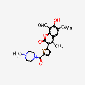 COc1cc2c(C)c(-c3ccc(C(=O)N4CCN(C)CC4)s3)c(=O)oc2c(C=O)c1O